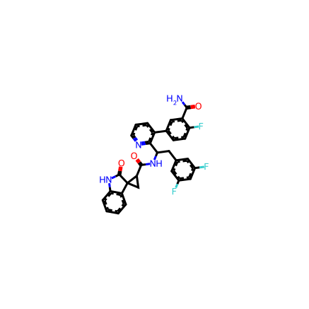 NC(=O)c1cc(-c2cccnc2C(Cc2cc(F)cc(F)c2)NC(=O)C2CC23C(=O)Nc2ccccc23)ccc1F